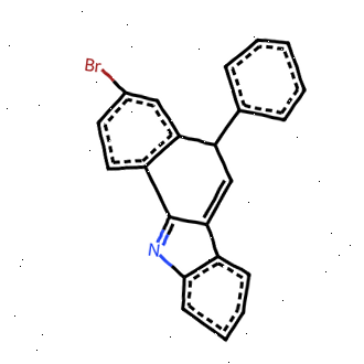 Brc1ccc2c(c1)C(c1ccccc1)C=C1C2=Nc2ccccc21